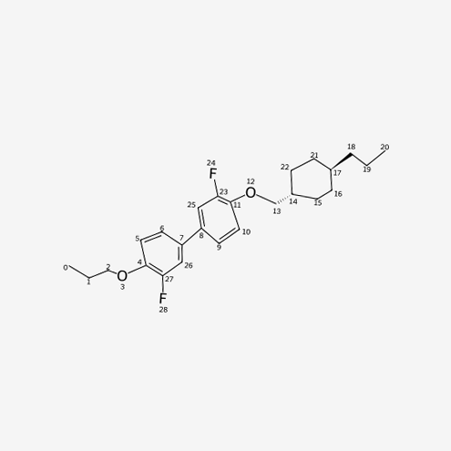 CCCOc1ccc(-c2ccc(OC[C@H]3CC[C@H](CCC)CC3)c(F)c2)cc1F